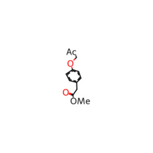 COC(=O)Cc1ccc(OCC(C)=O)cc1